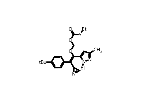 CCSC(=O)OCO/C(=C(\c1ccc(C(C)(C)C)cc1)C1C=N1)c1cc(C)nn1CC